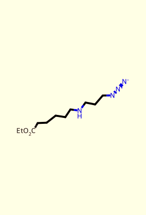 CCOC(=O)CCCCCNCCCN=[N+]=[N-]